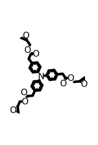 O=C(Cc1ccc(N(c2ccc(CC(=O)OCC3CO3)cc2)c2ccc(CC(=O)OCC3CO3)cc2)cc1)OCC1CO1